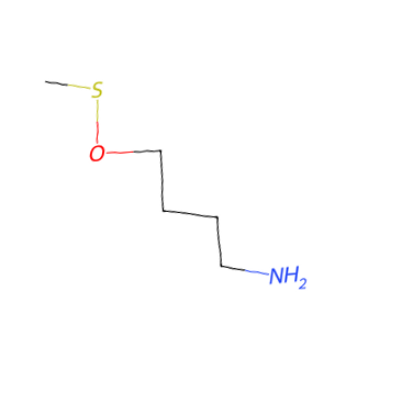 CSOCCCCN